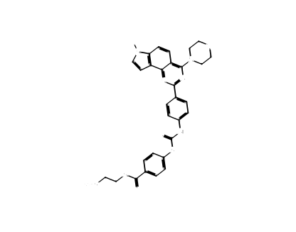 CCn1ccc2c3nc(-c4ccc(NC(=O)Nc5ccc(C(=O)NCCNC)cc5)cc4)nc(N4CCOCC4)c3ccc21